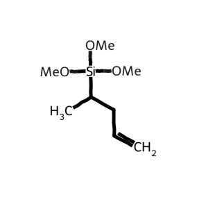 C=CCC(C)[Si](OC)(OC)OC